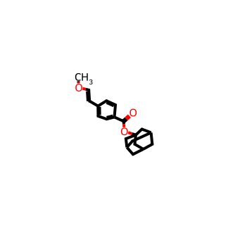 COC=Cc1ccc(C(=O)OC23CC4CC(CC(C4)C2)C3)cc1